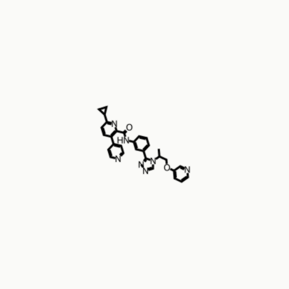 CC(COc1cccnc1)n1cnnc1-c1cccc(NC(=O)c2nc(C3CC3)ccc2-c2ccncc2)c1